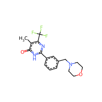 Cc1c(C(F)(F)F)nc(-c2cccc(CN3CCOCC3)c2)[nH]c1=O